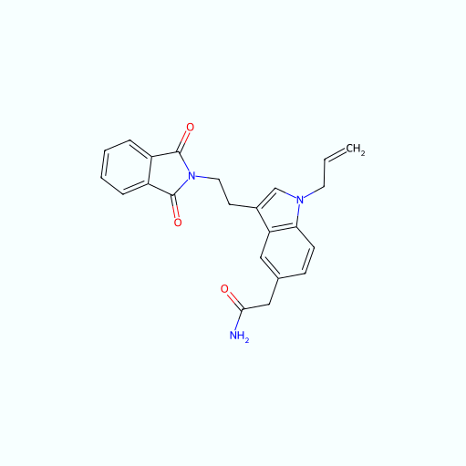 C=CCn1cc(CCN2C(=O)c3ccccc3C2=O)c2cc(CC(N)=O)ccc21